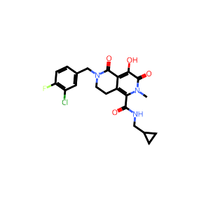 Cn1c(C(=O)NCC2CC2)c2c(c(O)c1=O)C(=O)N(Cc1ccc(F)c(Cl)c1)CC2